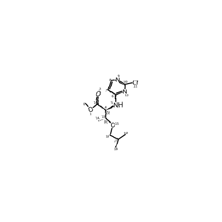 COC(=O)[C@@H](Nc1ccnc(Cl)n1)[C@@H](C)OCC(C)C